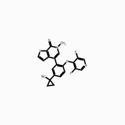 Cn1cc(-c2cc(C3(C#N)CC3)ccc2Oc2c(F)cncc2F)c2ccsc2c1=O